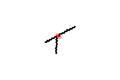 CCCCCCCCCCCCCC(=O)OC(CCCCCCCCC)CCCCCCCCCCCC